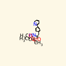 COC(=O)[C@H](Cc1ccc(-c2ccccn2)cc1)NC(=O)OC(C)(C)C